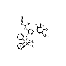 C/C(C=O)=C/N(C(N)=O)[C@H]1CC(OC(Br)N=[N+]=[N-])[C@@H](CO[Si](c2ccccc2)(C2C=CCCC2)C(C)(C)C)O1